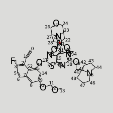 C#Cc1c(F)ccc2cc(OCOC)cc(Oc3nc4c(N5CC6COCC(C5)N6C(=O)OC(C)(C)C)nc(OCC56CCCN5CCC6)nc4s3)c12